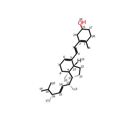 CC1=C(/C=C/C2=CCC[C@]3(C)[C@@H]([C@H](C)/C=C/[C@H](C)C(C)C)CC[C@@H]23)C[C@@H](O)CC1